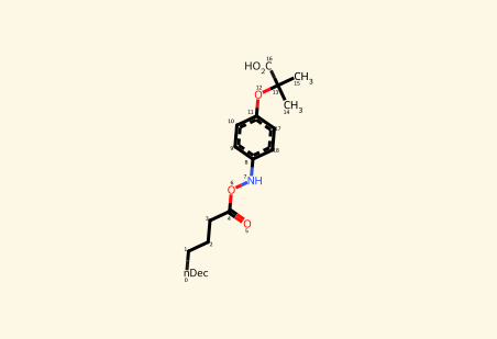 CCCCCCCCCCCCCC(=O)ONc1ccc(OC(C)(C)C(=O)O)cc1